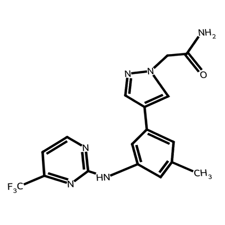 Cc1cc(Nc2nccc(C(F)(F)F)n2)cc(-c2cnn(CC(N)=O)c2)c1